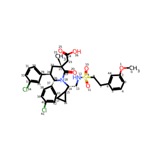 COc1cccc(CCS(=O)(=O)NC[C@H](C2CC2)N2C(=O)[C@@](C)(CC(=O)O)C[C@H](c3cccc(Cl)c3)[C@H]2c2ccc(Cl)cc2)c1